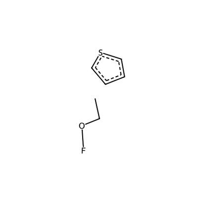 CCOF.c1ccsc1